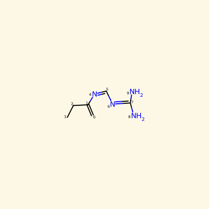 C=C(CC)/N=C\N=C(N)N